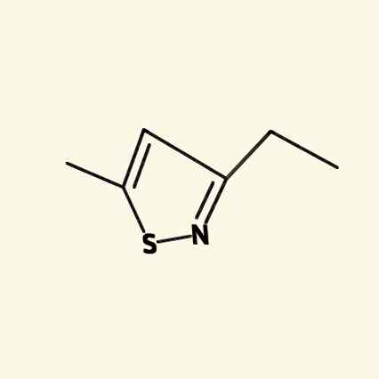 CCc1cc(C)sn1